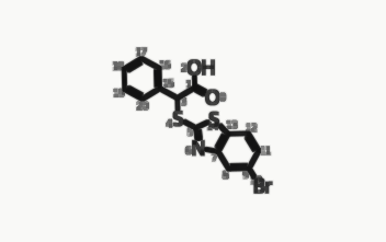 O=C(O)C(Sc1nc2cc(Br)ccc2s1)c1ccccc1